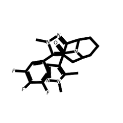 Cc1c(C(=O)N2C3CCCC2c2nn(C)c(-c4cc(F)c(F)c(F)c4)c2C3)cnn1C